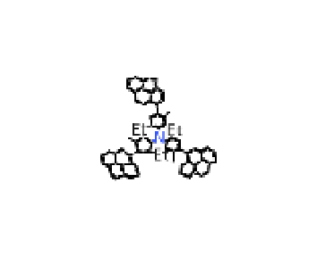 CCc1cc(-c2ccc3ccc4cccc5ccc2c3c45)c(C)cc1N(c1cc(C)c(-c2cc3cccc4ccc5cccc2c5c43)cc1CC)c1cc(C)c(-c2cc3cccc4ccc5cccc2c5c43)cc1CC